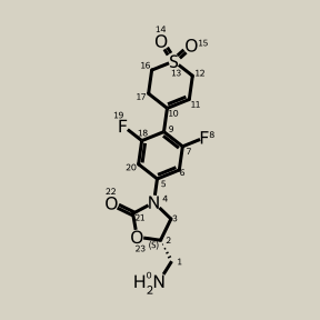 NC[C@H]1CN(c2cc(F)c(C3=CCS(=O)(=O)CC3)c(F)c2)C(=O)O1